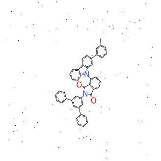 Cc1cccc(-c2ccc3c4ccccc4n(-c4cccc5c4C(=O)N(c4cc(-c6ccccc6)cc(-c6ccccc6)c4)C5=O)c3c2)c1